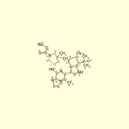 CC1(C)C[C@H](Nc2nc(-c3c[nH]c4c(P(C)(C)=O)c(C#N)ccc34)c(C(F)(F)F)n3ccnc23)CN(C(=O)OC(C)(C)C)C1